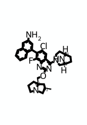 C[C@H]1CN2CCC[C@]2(COc2nc(N3CC[C@H]4CC[C@@H](C3)N4)c3cc(Cl)c(-c4cc(N)cc5ccccc45)c(F)c3n2)C1